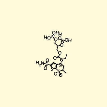 CCN(C(=O)OCC(CON(O)O)ON(O)O)[C@H]1CC(C)S(=O)(=O)c2sc(S(N)(=O)=O)cc21